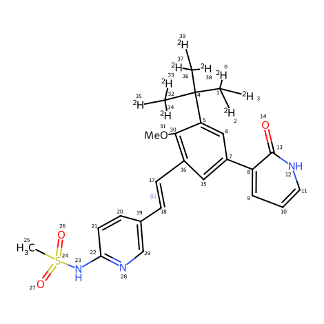 [2H]C([2H])([2H])C(c1cc(-c2ccc[nH]c2=O)cc(/C=C/c2ccc(NS(C)(=O)=O)nc2)c1OC)(C([2H])([2H])[2H])C([2H])([2H])[2H]